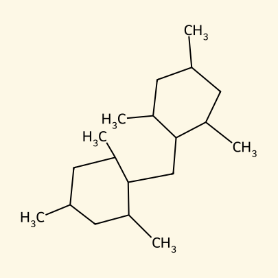 CC1CC(C)C(CC2C(C)CC(C)CC2C)C(C)C1